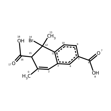 CC1=Cc2cc(C(=O)O)ccc2C(C)(Br)C1C(=O)O